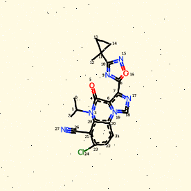 CC(C)n1c(=O)c2c(-c3nc(C4(C)CC4)no3)ncn2c2ccc(Cl)c(C#N)c21